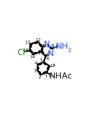 CC(=O)Nc1cccc(-c2nc(N)nc3ccc(Cl)cc23)c1